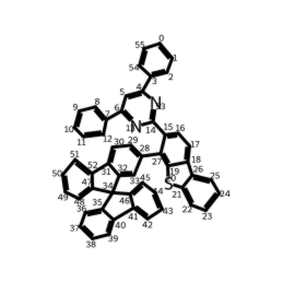 c1ccc(-c2cc(-c3ccccc3)nc(-c3ccc4c(sc5ccccc54)c3-c3ccc4c(c3)C3(c5ccccc5-c5ccccc53)c3ccccc3-4)n2)cc1